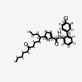 CCCCCC(=O)CCCC(CCC)C1=NC(C(=O)Nc2ccccc2-c2ccc(Cl)cc2)=CC1